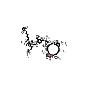 COc1cc(C(=O)N[C@@H](C)C(=O)O[C@H]2CC(=O)N(C)c3cc(cc(OC)c3Cl)C/C(C)=C/C=C/[C@@H](OC)[C@@]3(C)C[C@H](OC(=O)N3)[C@@H](C)[C@@H]3O[C@@]23C)ccc1NC(=O)[C@H](CCCNC(N)=O)NC(=O)[C@@H](NC(=O)CCCCCN1C(=O)C=CC1=O)C(C)C